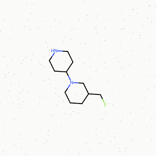 FCC1CCCN(C2CCNCC2)C1